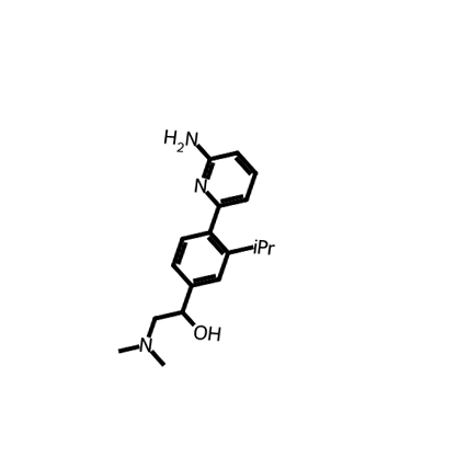 CC(C)c1cc(C(O)CN(C)C)ccc1-c1cccc(N)n1